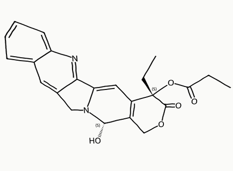 CCC(=O)O[C@]1(CC)C(=O)OCC2=C1C=C1c3nc4ccccc4cc3CN1[C@H]2O